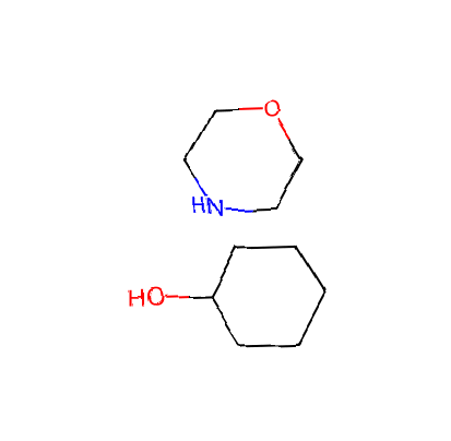 C1COCCN1.OC1CCCCC1